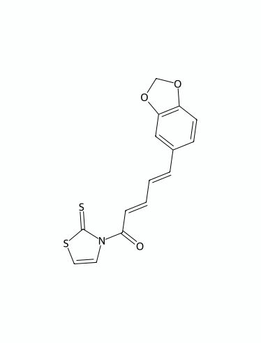 O=C(C=CC=Cc1ccc2c(c1)OCO2)n1ccsc1=S